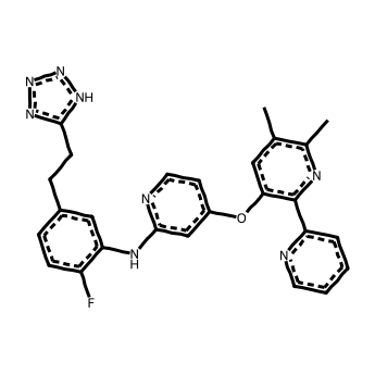 Cc1cc(Oc2ccnc(Nc3cc(CCc4nnn[nH]4)ccc3F)c2)c(-c2ccccn2)nc1C